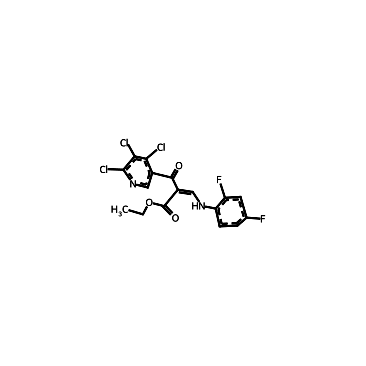 CCOC(=O)C(=CNc1ccc(F)cc1F)C(=O)c1cnc(Cl)c(Cl)c1Cl